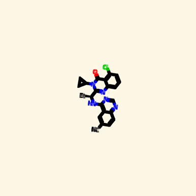 CC[C@H](Nc1ncnc2ccc(C#N)cc12)c1nc2cccc(Cl)c2c(=O)n1C1CC1